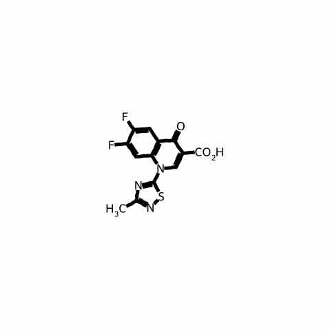 Cc1nsc(-n2cc(C(=O)O)c(=O)c3cc(F)c(F)cc32)n1